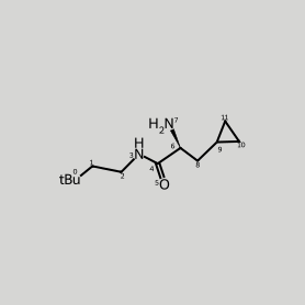 CC(C)(C)CCNC(=O)[C@@H](N)CC1CC1